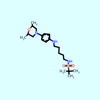 CC1CN(c2ccc(NCCCCCNS(=O)(=O)C(C)(C)C)cc2)CC(C)O1